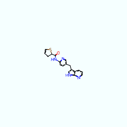 O=C(Nc1ccc(Cc2c[nH]c3ncccc23)cn1)C1CC=CS1